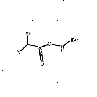 CCC(C)NOC(=O)C(CC)CC